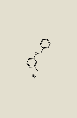 CC[C@@H](C)Cc1cccc(OCc2ccccc2)c1